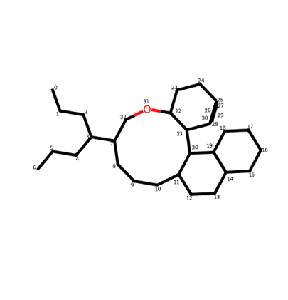 CCCC(CCC)C1CCCC2CCC3CCCCC3C2C2C(CCC3CCCCC32)OC1